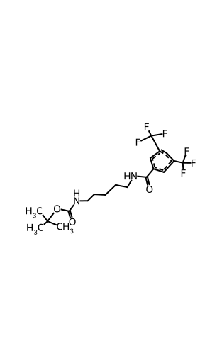 CC(C)(C)OC(=O)NCCCCCNC(=O)c1cc(C(F)(F)F)cc(C(F)(F)F)c1